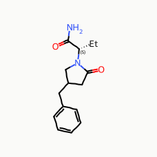 CC[C@@H](C(N)=O)N1CC(Cc2ccccc2)CC1=O